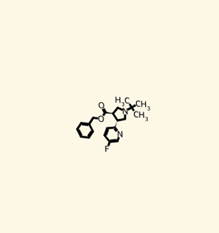 CC(C)(C)N1C[C@H](C(=O)OCc2ccccc2)[C@@H](c2ccc(F)cn2)C1